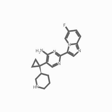 Nc1nc(-c2cnc3ccc(F)cn23)ncc1C1([C@H]2CCCNC2)CC1